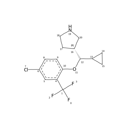 FC(F)(F)c1cc(Cl)ccc1OC(C1CC1)[C@@H]1CCNC1